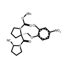 CC(C)(C)OC(=O)N1CCC[C@]1(COc1ccc([N+](=O)[O-])cc1Cl)C(=O)N1CCC[C@H]1C#N